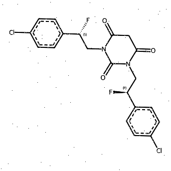 O=C1CC(=O)N(C[C@H](F)c2ccc(Cl)cc2)C(=O)N1C[C@@H](F)c1ccc(Cl)cc1